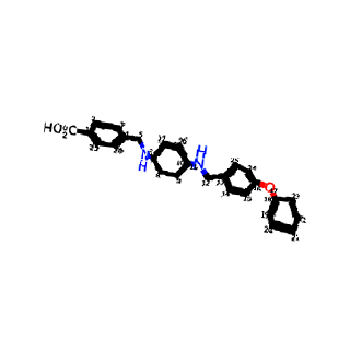 O=C(O)c1ccc(CNC2CCC(NCc3ccc(Oc4ccccc4)cc3)CC2)cc1